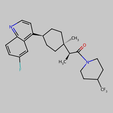 C[C@H](C(=O)N1CCC(C(F)(F)F)CC1)[C@]1(C)CC[C@H](c2ccnc3ccc(F)cc32)CC1